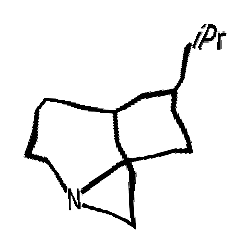 CC(C)C1CC23CN2CCC13